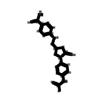 CC(=O)Nc1ccc(N2CC(COc3ccc(C(=O)O)cc3)CC2=O)cc1